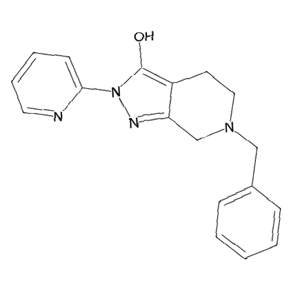 Oc1c2c(nn1-c1ccccn1)CN(Cc1ccccc1)CC2